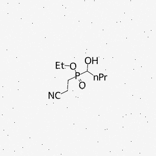 CCCC(O)P(=O)(CCC#N)OCC